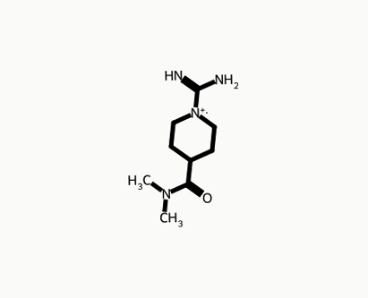 CN(C)C(=O)C1CC[N+](C(=N)N)CC1